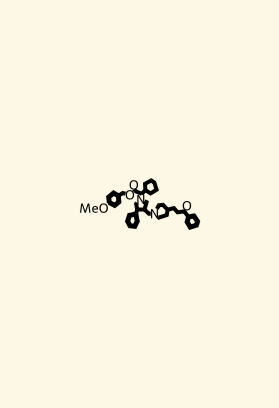 COc1ccc(COC(=O)C(C2CCCCC2)N2CC(CN3CCC(CCC(=O)c4ccccc4)CC3)C(c3ccccc3)C2)cc1